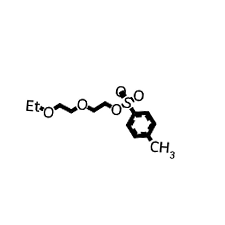 CCOCCOCCOS(=O)(=O)c1ccc(C)cc1